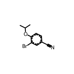 CC(C)Oc1ccc(C#N)cc1Br